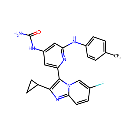 NC(=O)Nc1cc(Nc2ccc(C(F)(F)F)cc2)nc(-c2c(C3CC3)nc3ccc(F)cn23)c1